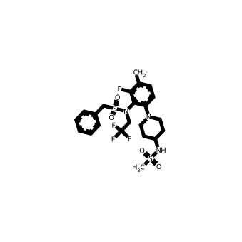 [CH2]c1ccc(N2CCC(NS(C)(=O)=O)CC2)c(N(CC(F)(F)F)S(=O)(=O)Cc2ccccc2)c1F